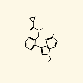 CCN(Cc1ccccc1-c1cn(CC(=O)O)c2ccc(C(F)(F)F)cc12)C(=O)C1CC1